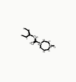 CCC(CC)OC(=O)N1CCCN(C)CC1